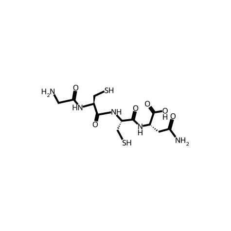 NCC(=O)N[C@@H](CS)C(=O)N[C@@H](CS)C(=O)N[C@@H](CC(N)=O)C(=O)O